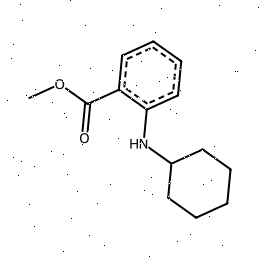 COC(=O)c1ccccc1NC1CCCCC1